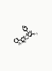 CC(C)c1cc(Cc2ncc(-c3ccccc3)c(C(C)C)n2)nc(-c2ccncc2)n1